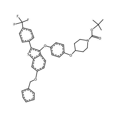 CC(C)(C)OC(=O)N1CCC(Oc2ccc(Oc3c(-c4ccc(C(F)(F)F)cc4)sc4cc(OCc5ccccc5)ccc34)cc2)CC1